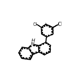 Clc1[c]c(Cl)cc(-c2cccc3c2[nH]c2ccccc23)c1